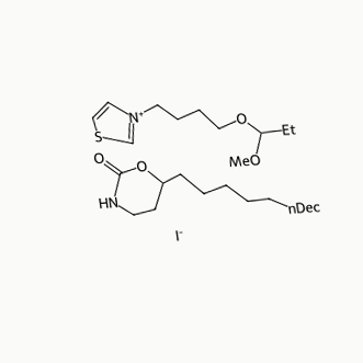 CCC(OC)OCCCC[n+]1ccsc1.CCCCCCCCCCCCCCCC1CCNC(=O)O1.[I-]